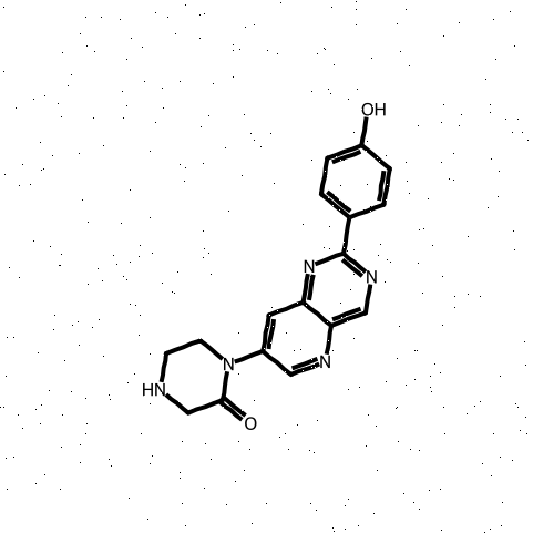 O=C1CNCCN1c1cnc2cnc(-c3ccc(O)cc3)nc2c1